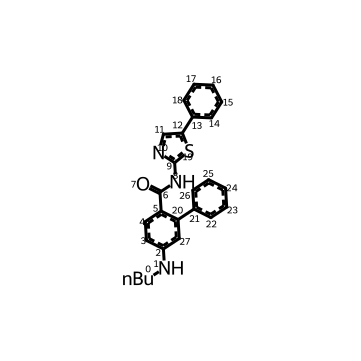 CCCCNc1ccc(C(=O)Nc2ncc(-c3ccccc3)s2)c(-c2ccccc2)c1